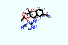 CNC(=NC#N)N[C@@H]1c2cc(C#N)ccc2OC(C)(C)[C@H]1OC(C)=O